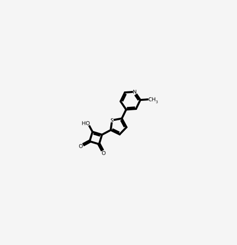 Cc1cc(-c2ccc(-c3c(O)c(=O)c3=O)s2)ccn1